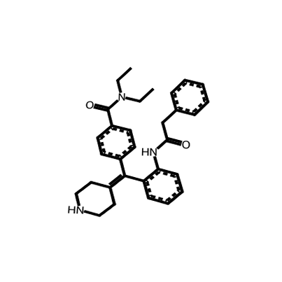 CCN(CC)C(=O)c1ccc(C(=C2CCNCC2)c2ccccc2NC(=O)Cc2ccccc2)cc1